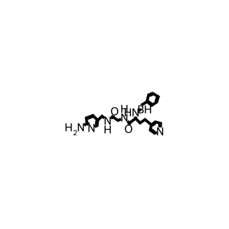 Nc1ccc(CNC(=O)CNC(=O)C(CCc2ccncc2)NBCc2ccccc2)cn1